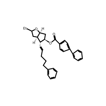 CCC1C[C@@H]2[C@@H](/C=C/CCCc3ccccc3)[C@H](OC(=O)c3ccc(-c4ccccc4)cc3)C[C@@H]2O1